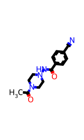 CC(=O)N1CCN(NC(=O)c2ccc(C#N)cc2)CC1